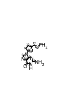 Nc1nc2c(ncn2C2CCC(COP)O2)c(=O)[nH]1